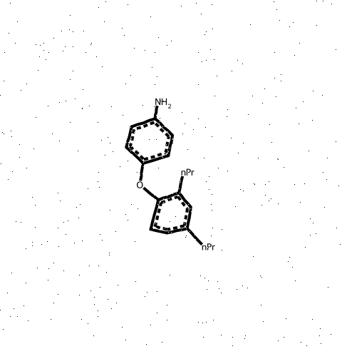 CCCc1ccc(Oc2ccc(N)cc2)c(CCC)c1